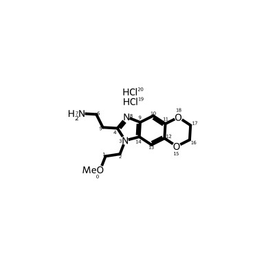 COCCn1c(CCN)nc2cc3c(cc21)OCCO3.Cl.Cl